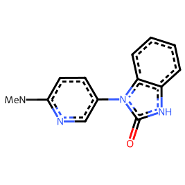 CNc1ccc(-n2c(=O)[nH]c3ccccc32)cn1